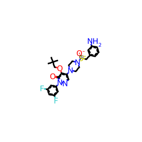 CC(C)(C)COc1c(N2CCN([S@+]([O-])Cc3cccc(N)c3)CC2)cnn(-c2cc(F)cc(F)c2)c1=O